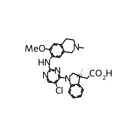 COc1cc2c(cc1Nc1ncc(Cl)c(N3C[C@@](C)(CC(=O)O)c4ccccc43)n1)CN(C)CC2